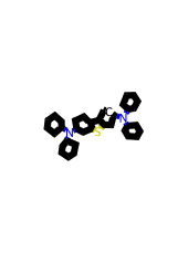 c1ccc(N(c2ccccc2)c2ccc3c(c2)sc2cc(N(c4ccccc4)c4ccccc4)ccc23)cc1